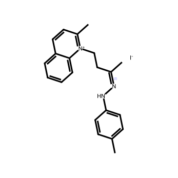 C/C(CC[n+]1c(C)ccc2ccccc21)=N/Nc1ccc(C)cc1.[I-]